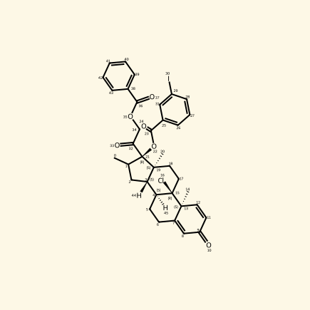 CC1C[C@H]2[C@@H]3CCC4=CC(=O)C=C[C@]4(C)[C@@]3(Cl)CC[C@]2(C)[C@@]1(OC(=O)c1cccc(I)c1)C(=O)COC(=O)c1ccccc1